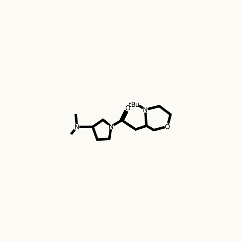 CN(C)C1CCN(C(=O)CC2COCCN2C(C)(C)C)C1